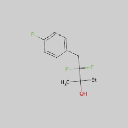 [CH2]CC(C)(O)C(F)(F)Cc1ccc(F)cc1